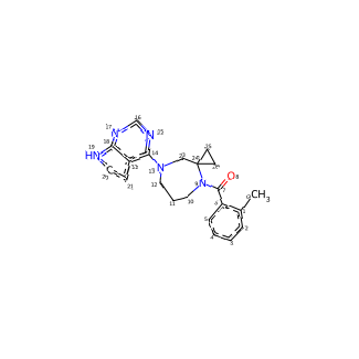 Cc1ccccc1C(=O)N1CCCN(c2ncnc3[nH]ccc23)CC12CC2